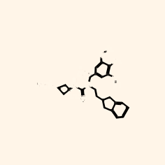 CCOc1cc([C@@H](C)N(CCC2Cc3ccccc3C2)C(=O)N[C@]2(C(=O)O)C[C@@H](OC)C2)cc(OCC)c1C(C)=O